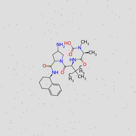 C[C@@H](C(=O)N[C@H](C(=O)N1CC(N)CC1C(=O)N[C@@H]1CCCc2ccccc21)C(C)(C)C)N(C)C(=O)O